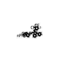 CCCS(=O)(=O)n1ccc2c(OCCCN(Cc3cccc(C(F)(F)F)c3Cl)CC(c3ccccc3)c3ccccc3)cccc21